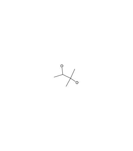 CC([O])C(C)(C)[O]